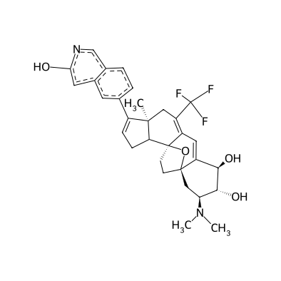 CN(C)[C@H]1C[C@@]23CC[C@@]4(O2)C(=C(C(F)(F)F)C[C@]2(C)C(c5ccc6cnc(O)cc6c5)=CCC24)C=C3[C@@H](O)[C@@H]1O